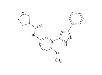 COc1ccc(NC(=O)C2CCOC2)cc1-c1cc(-c2ccccc2)n[nH]1